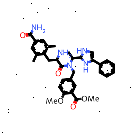 COC(=O)c1cc(CN(C(=O)C(N)Cc2c(C)cc(C(N)=O)cc2C)C(C)C2NC=C(c3ccccc3)N2)ccc1OC